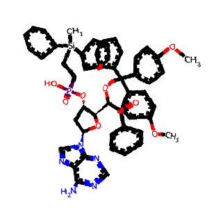 COc1ccc(C(OC(C(=O)c2ccccc2)[C@H]2O[C@@H](n3cnc4c(N)ncnc43)C[C@@H]2OP(=O)(O)CC[Si](C)(c2ccccc2)c2ccccc2)(c2ccccc2)c2ccc(OC)cc2)cc1